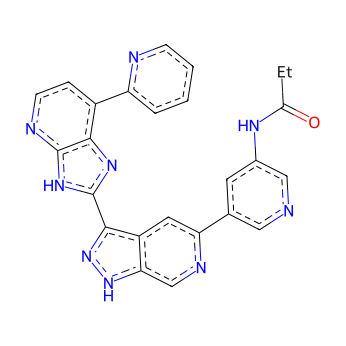 CCC(=O)Nc1cncc(-c2cc3c(-c4nc5c(-c6ccccn6)ccnc5[nH]4)n[nH]c3cn2)c1